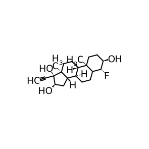 C#C[C@]1(O)[C@H](O)C[C@H]2[C@@H]3CCC4[C@@H](F)[C@H](O)CC[C@]4(C)[C@H]3CC[C@@]21C